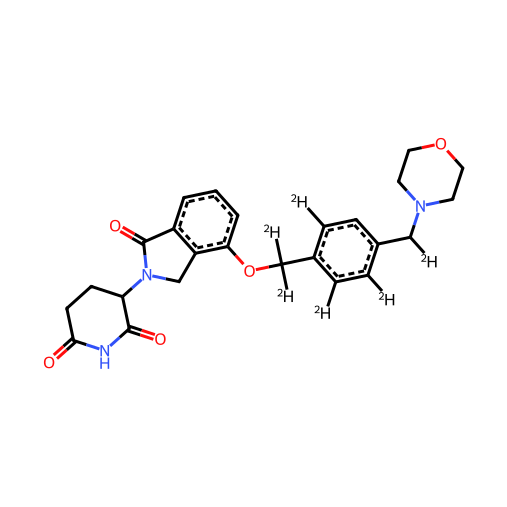 [2H]c1cc(C([2H])N2CCOCC2)c([2H])c([2H])c1C([2H])([2H])Oc1cccc2c1CN(C1CCC(=O)NC1=O)C2=O